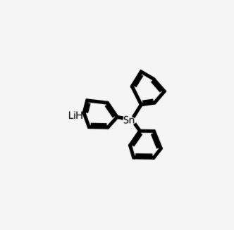 [LiH].c1cc[c]([Sn]([c]2ccccc2)[c]2ccccc2)cc1